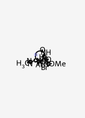 COc1cc(Br)nc(NC(=O)[C@@H]2C[C@]34CNC(=O)CCC/C=C/Cc5cc(-c6cnc(C)nc6)cc6c(C(C)=O)nn(c56)CC(=O)N2[C@@H]3C4)c1